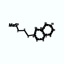 CSCCCc1ccc2ccccc2c1